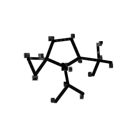 CC(C)N1C(C(C)(C)C)CCC12CC2